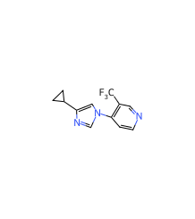 FC(F)(F)c1cnccc1-n1cnc(C2CC2)c1